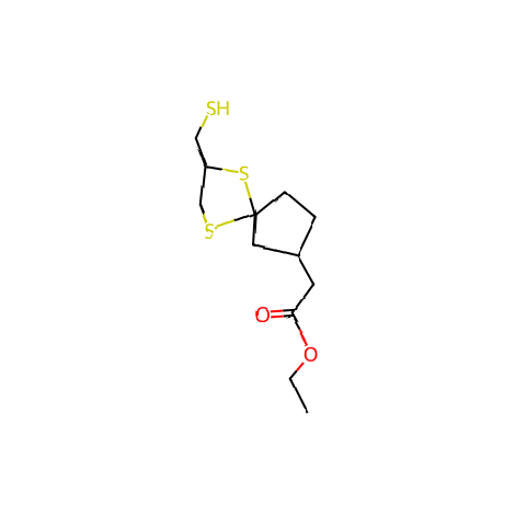 CCOC(=O)CC1CCC2(C1)SCC(CS)S2